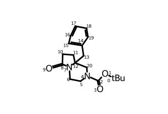 CC(C)(C)OC(=O)N1CCN2C(=O)CCC2(Cc2ccccc2)C1